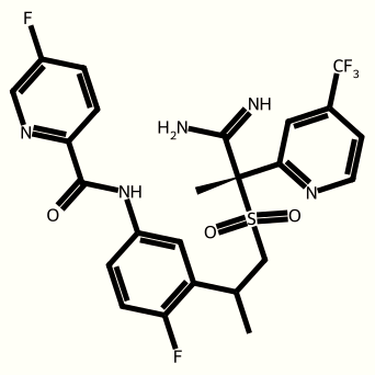 CC(CS(=O)(=O)[C@](C)(C(=N)N)c1cc(C(F)(F)F)ccn1)c1cc(NC(=O)c2ccc(F)cn2)ccc1F